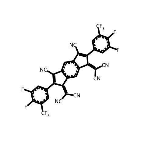 N#CC(C#N)=C1C(c2cc(F)c(F)c(C(F)(F)F)c2)=C(C#N)c2cc3c(cc21)C(=C(C#N)C#N)C(c1cc(F)c(F)c(C(F)(F)F)c1)=C3C#N